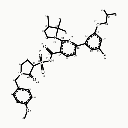 COc1ccc(CN2CCC(S(=O)(=O)NC(=O)c3ccc(-c4cc(F)cc(OCC(C)C)c4)nc3N3CCC(C)C3(C)C)C2=O)cc1